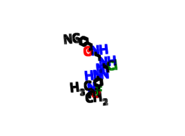 C=CC(=O)N(C)c1cc(Nc2ncc(Cl)c(NCCCNC(=O)Cc3ccc(C#N)cc3)n2)ccc1F